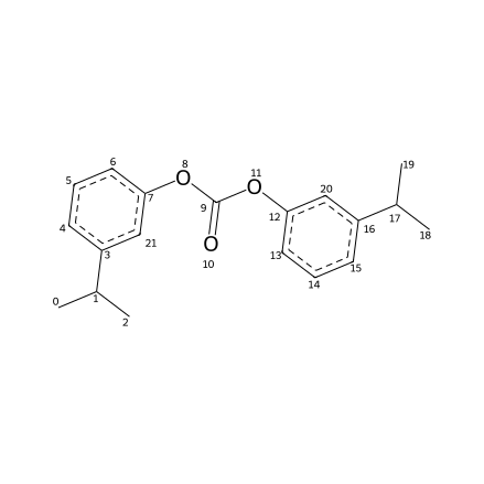 CC(C)c1cccc(OC(=O)Oc2cccc(C(C)C)c2)c1